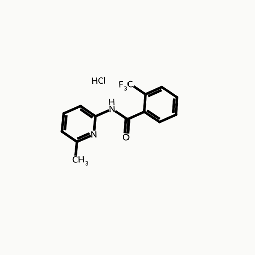 Cc1cccc(NC(=O)c2ccccc2C(F)(F)F)n1.Cl